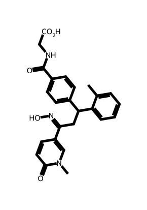 Cc1ccccc1C(CC(=NO)c1ccc(=O)n(C)c1)c1ccc(C(=O)NCC(=O)O)cc1